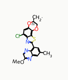 [CH2][C@H]1COc2c(cc(Cl)c3nc(-c4cc(C)cc5nc(OC)cnc45)sc23)O1